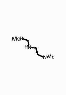 CNCCNCNC